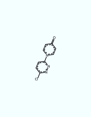 O=c1ccn(-c2ccc(Cl)nn2)cc1